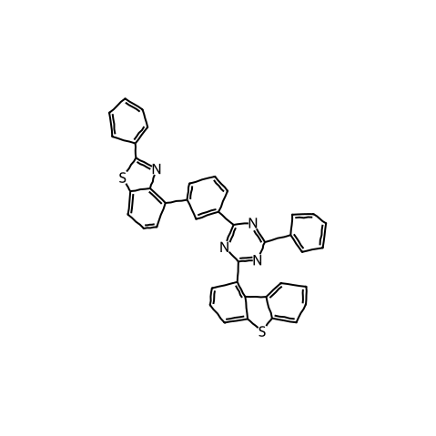 c1ccc(-c2nc(-c3cccc(-c4cccc5sc(-c6ccccc6)nc45)c3)nc(-c3cccc4sc5ccccc5c34)n2)cc1